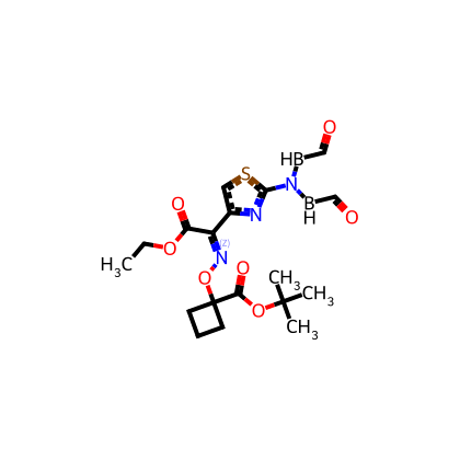 CCOC(=O)/C(=N\OC1(C(=O)OC(C)(C)C)CCC1)c1csc(N(BC=O)BC=O)n1